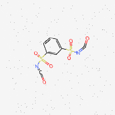 O=C=NS(=O)(=O)c1cccc(S(=O)(=O)N=C=O)c1